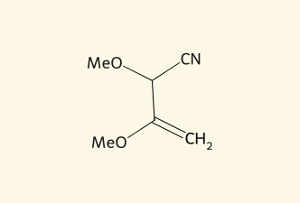 C=C(OC)C(C#N)OC